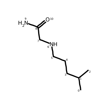 CC(C)CCCNCC(N)=O